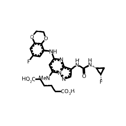 CNc1cc(Nc2cc(F)cc3c2OCCO3)nc2c(NC(=O)N[C@@H]3C[C@@H]3F)cnn12.O=C(O)CCCCC(=O)O